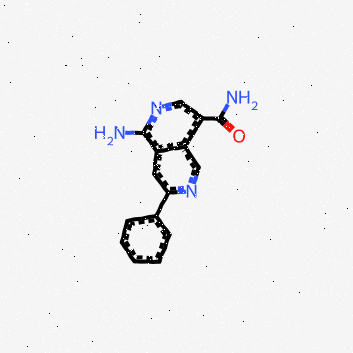 NC(=O)c1cnc(N)c2cc(-c3ccccc3)ncc12